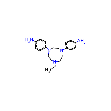 CCN1CCN(c2ccc(N)cc2)CCN(c2ccc(N)cc2)CC1